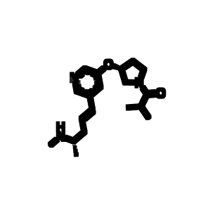 CN[C@@H](C)CC=Cc1cncc(O[C@H]2CCN(C(=O)C(C)C)C2)c1